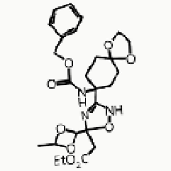 CCOC(=O)CC1(C2OC(C)O2)N=C(C2(NC(=O)OCc3ccccc3)CCC3(CC2)OCCO3)NO1